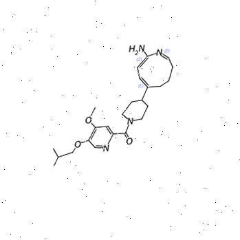 COc1cc(C(=O)N2CCC(/C3=C/C=C(N)\N=C/CCC3)CC2)ncc1OCC(C)C